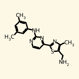 Cc1cc(C)cc(Nc2nccc(-c3nc(C)c(CN)s3)n2)c1